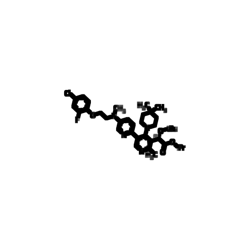 Cc1ncc(-c2ccc(N(C)CCOc3ccc(Cl)cc3F)cn2)c(N2CCC(C)(C)CC2)c1[C@H](OC(C)(C)C)C(=O)OC(C)C